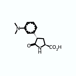 CN(C)c1cccc([C@@H]2C[C@@H](C(=O)O)NC2=O)c1